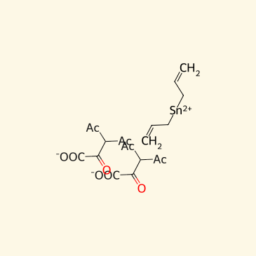 C=C[CH2][Sn+2][CH2]C=C.CC(=O)C(C(C)=O)C(=O)C(=O)[O-].CC(=O)C(C(C)=O)C(=O)C(=O)[O-]